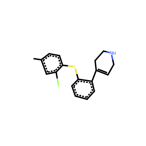 Cc1ccc(Sc2ccccc2C2=CCNCC2)c(F)c1